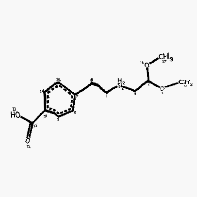 COC(C[SiH2]CCc1ccc(C(=O)O)cc1)OC